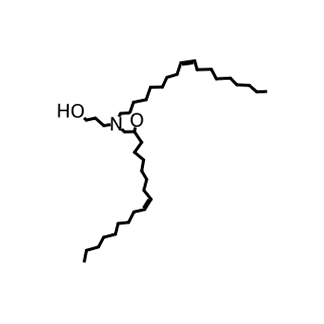 CCCCCCCC/C=C\CCCCCCC1CN(CCCO)CC(CCCCCC/C=C\CCCCCCCC)O1